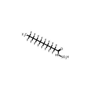 O=C(NS(=O)(=O)O)C(F)(F)C(F)(F)C(F)(F)C(F)(F)C(F)(F)C(F)(F)C(F)(F)C(F)(F)C(F)(F)F